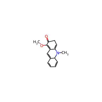 COC1=C2C=C3C=CC=CC3N(C)C2=CCC1=O